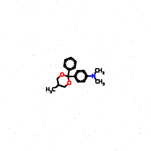 CC1COC(c2ccccc2)(c2ccc(N(C)C)cc2)OC1